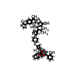 Cc1ncsc1-c1ccc([C@H](C)NC(=O)[C@@H]2C[C@@H](O)CN2C(O)[C@H](c2cc(N3CCN(C[C@H]4C[C@H](Oc5cc(N6C7CCC6CN(c6cc(-c8ccccc8O)nnc6N)C7)ccn5)C4)CC3)no2)C(C)C)cc1